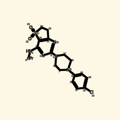 CCCNc1nc(N2CCN(c3ccc(Cl)cc3)CC2)nc2c1S(=O)(=O)CC2